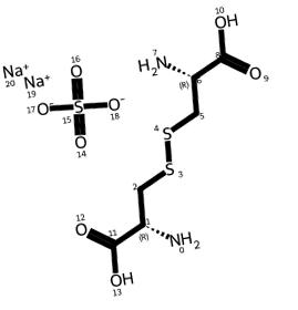 N[C@@H](CSSC[C@H](N)C(=O)O)C(=O)O.O=S(=O)([O-])[O-].[Na+].[Na+]